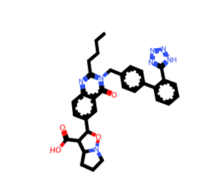 CCCCc1nc2ccc(C3ON4CCCC4C3C(=O)O)cc2c(=O)n1Cc1ccc(-c2ccccc2-c2nnn[nH]2)cc1